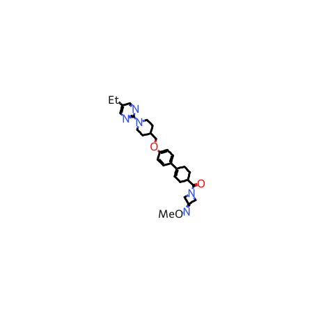 CCc1cnc(N2CCC(COc3ccc(C4=CCC(C(=O)N5CC(=NOC)C5)CC4)cc3)CC2)nc1